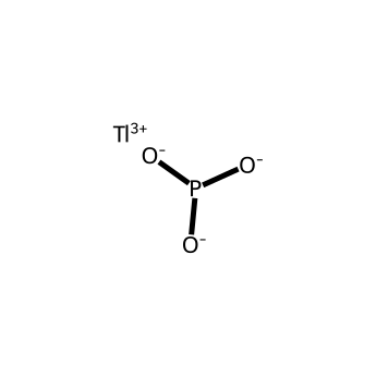 [O-]P([O-])[O-].[Tl+3]